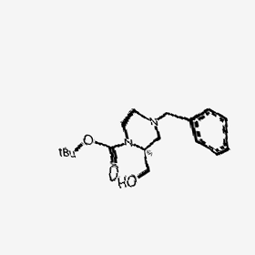 CC(C)(C)OC(=O)N1CCN(Cc2ccccc2)C[C@H]1CO